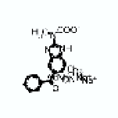 CN(C(=O)[O-])c1nc2cc(C(=O)c3ccccc3)ccc2[nH]1.CNC(C)=O.O=N[O-].[Na+].[Na+]